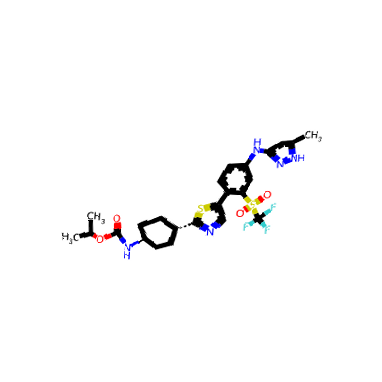 Cc1cc(Nc2ccc(-c3cnc([C@H]4CC[C@H](NC(=O)OC(C)C)CC4)s3)c(S(=O)(=O)C(F)(F)F)c2)n[nH]1